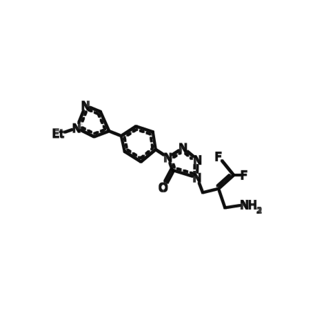 CCn1cc(-c2ccc(-n3nnn(CC(CN)=C(F)F)c3=O)cc2)cn1